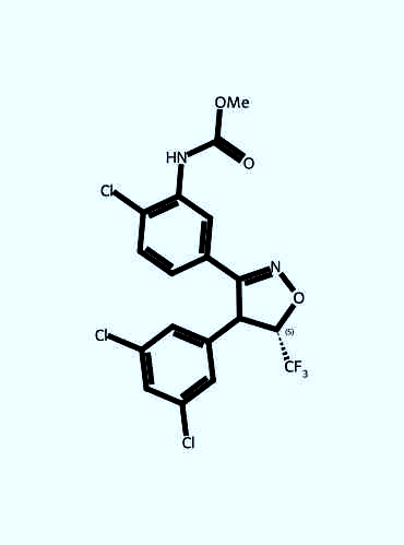 COC(=O)Nc1cc(C2=NO[C@H](C(F)(F)F)C2c2cc(Cl)cc(Cl)c2)ccc1Cl